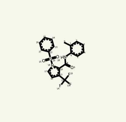 Cc1ccccc1NC(=O)c1c(C(F)(F)F)ccn1S(=O)(=O)c1ccccc1